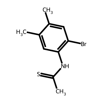 CC(=S)Nc1cc(C)c(C)cc1Br